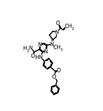 C=CC(=O)N1CC[C@@H](N(C)c2cnc(C(N)=O)c(Nc3ccc(C(=O)OCc4ccccc4)cc3)n2)C1